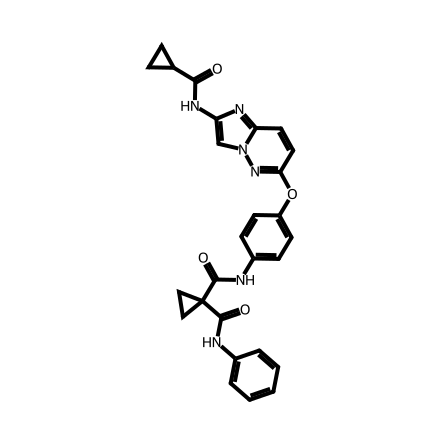 O=C(Nc1cn2nc(Oc3ccc(NC(=O)C4(C(=O)Nc5ccccc5)CC4)cc3)ccc2n1)C1CC1